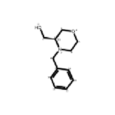 OC[C@H]1COCCN1Cc1ccccc1